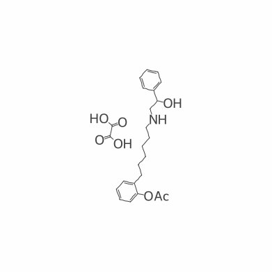 CC(=O)Oc1ccccc1CCCCCCNCC(O)c1ccccc1.O=C(O)C(=O)O